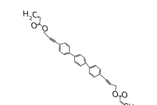 C=CC(=O)OCC#Cc1ccc(-c2ccc(-c3ccc(C#CCOC(=O)C=C)cc3)cc2)cc1